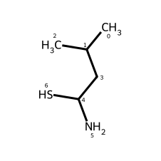 CC(C)CC(N)S